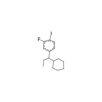 CCC(c1ccc(I)c(F)c1)C1CCCCC1